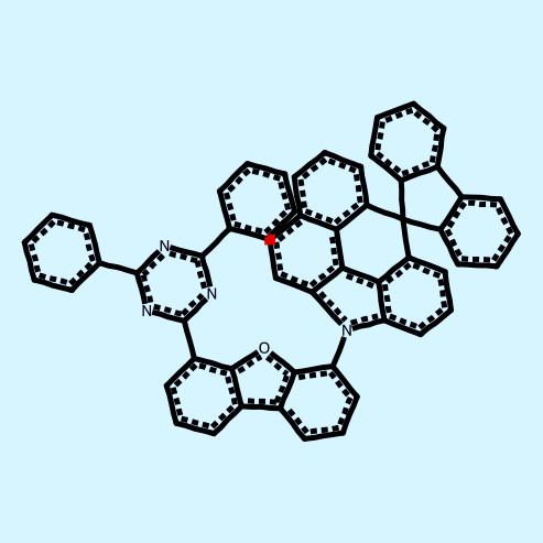 c1ccc(-c2nc(-c3ccccc3)nc(-c3cccc4c3oc3c(-n5c6cccc7c6c6c8c(cccc8ccc65)C75c6ccccc6-c6ccccc65)cccc34)n2)cc1